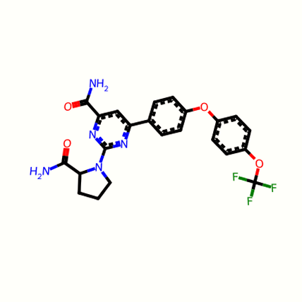 NC(=O)c1cc(-c2ccc(Oc3ccc(OC(F)(F)F)cc3)cc2)nc(N2CCCC2C(N)=O)n1